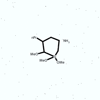 CCCC1CCC[Si](OC)(OC)C1OC.N